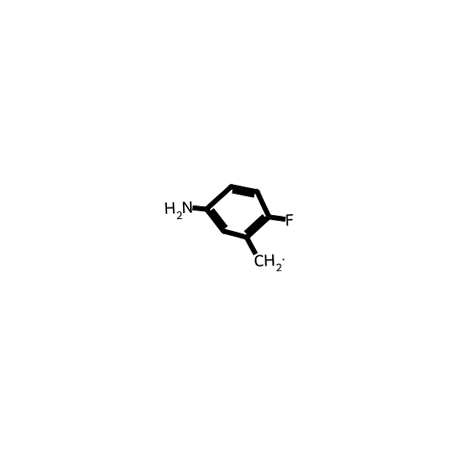 [CH2]c1cc(N)ccc1F